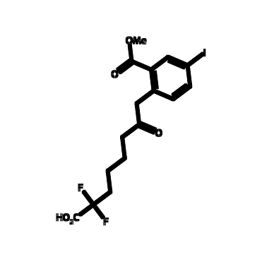 COC(=O)c1cc(I)ccc1CC(=O)CCCCC(F)(F)C(=O)O